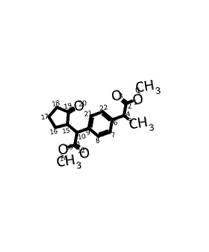 COC(=O)C(C)c1ccc(C(C(=O)OC)C2CCCC2=O)cc1